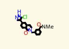 CNC(=O)c1cccc(Cn2ccc3cc(-c4cn[nH]c4Cl)ccc3c2=O)c1